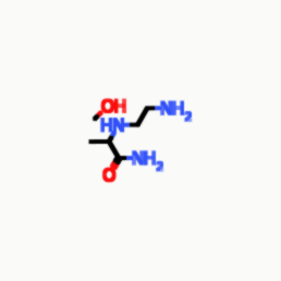 CC(NCCN)C(N)=O.CO